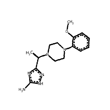 COc1ccccc1N1CCN(C(C)c2n[nH]c(N)n2)CC1